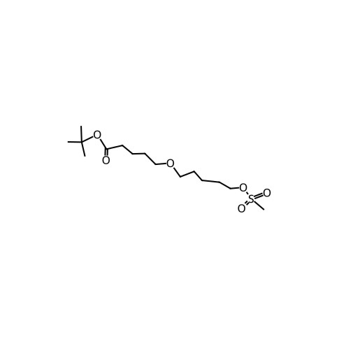 CC(C)(C)OC(=O)CCCCOCCCCCOS(C)(=O)=O